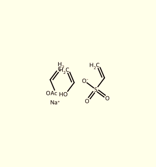 C=CO.C=COC(C)=O.C=CS(=O)(=O)[O-].[Na+]